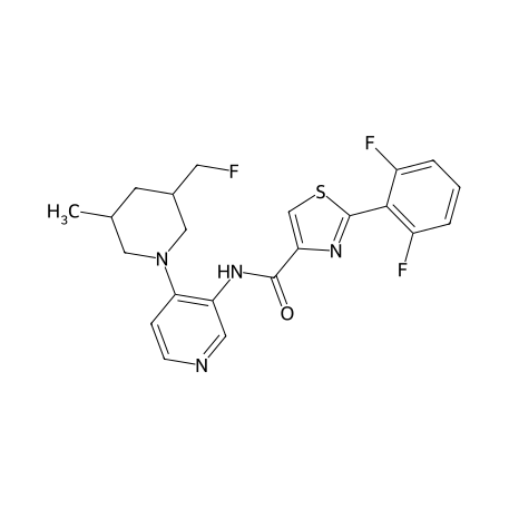 CC1CC(CF)CN(c2ccncc2NC(=O)c2csc(-c3c(F)cccc3F)n2)C1